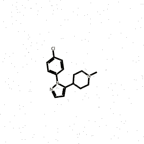 CN1CCC(c2ccnn2-c2ccc(Cl)cc2)CC1